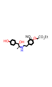 CCOC(=O)COc1ccc(CCN[C@@H](C)[C@H](O)c2ccc(O)cc2)cc1[N+](=O)[O-]